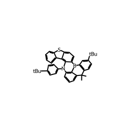 CC(C)(C)c1ccc(N2c3cccc4c3B(c3cc(C(C)(C)C)ccc3C4(C)C)c3ccc4sc5ccccc5c4c32)cc1